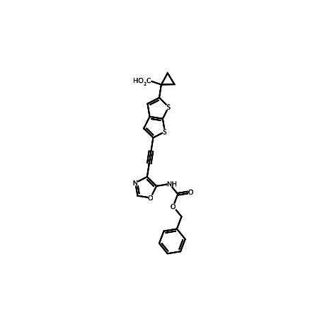 O=C(Nc1ocnc1C#Cc1cc2cc(C3(C(=O)O)CC3)sc2s1)OCc1ccccc1